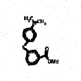 COC(=O)c1cccc(Sc2ccc(N(C)C)cc2)c1